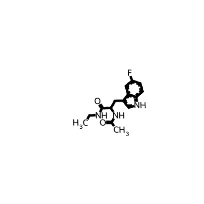 CCNC(=O)C(Cc1c[nH]c2ccc(F)cc12)NC(C)=O